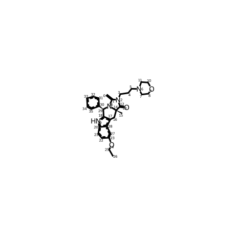 C=C1N(CCCN2CCOCC2)C(=O)[C@]2(C)Cc3c([nH]c4ccc(OCC)cc34)[C@@H](c3ccccc3)N12